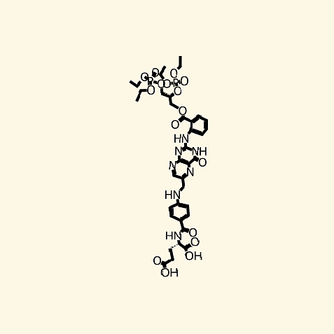 CCOP(=O)(OCC)OCC(COC(=O)c1ccccc1Nc1nc2ncc(CNc3ccc(C(=O)N[C@@H](CCC(=O)O)C(=O)O)cc3)nc2c(=O)[nH]1)OP(=O)(OCC)OCC